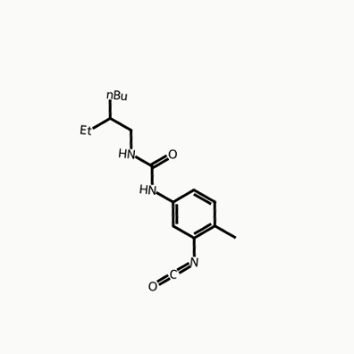 CCCCC(CC)CNC(=O)Nc1ccc(C)c(N=C=O)c1